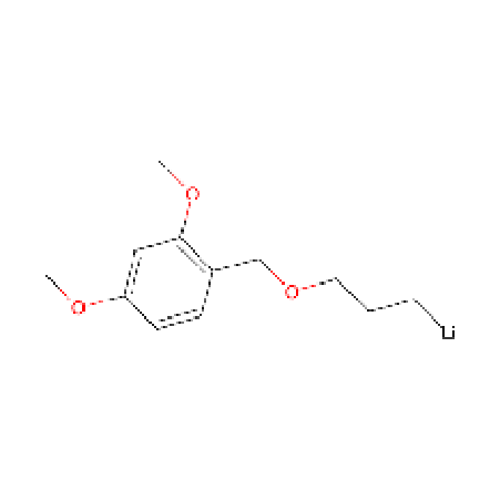 [Li][CH2]CCOCc1ccc(OC)cc1OC